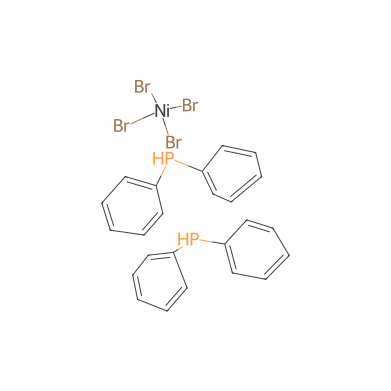 [Br][Ni]([Br])([Br])[Br].c1ccc(Pc2ccccc2)cc1.c1ccc(Pc2ccccc2)cc1